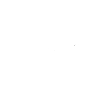 CCCOC(C)(C)CCOC(C)(C)CCNC(=O)CCCC[C@@H]1SCC2NC(=O)NC21